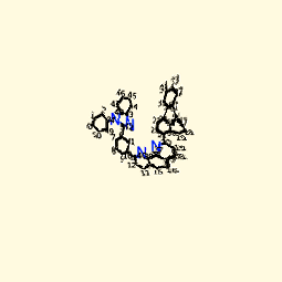 c1ccc(-n2c(-c3cccc(-c4ccc5ccc6ccc(-c7ccc8c9c(cccc79)-c7ccccc7-8)nc6c5n4)c3)nc3ccccc32)cc1